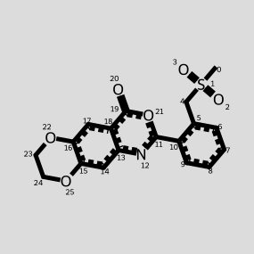 CS(=O)(=O)Cc1ccccc1-c1nc2cc3c(cc2c(=O)o1)OCCO3